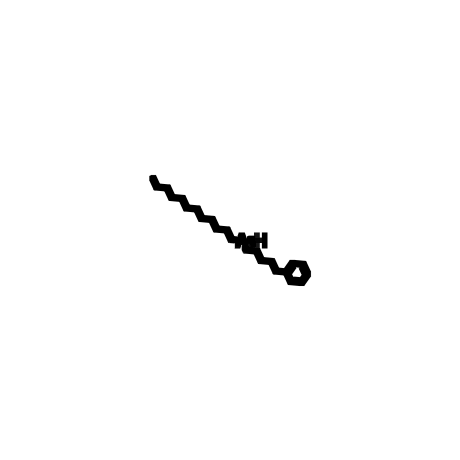 CCCCCCCCCCCC[AsH]CCCCCc1ccccc1